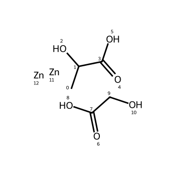 CC(O)C(=O)O.O=C(O)CO.[Zn].[Zn]